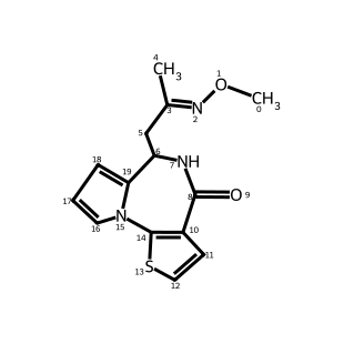 CON=C(C)CC1NC(=O)c2ccsc2-n2cccc21